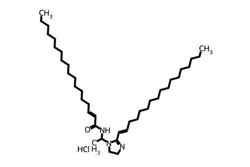 CCCCCCCCCCCCCCCC=CC(=O)NC(C)N1CCN=C1C=CCCCCCCCCCCCCCCC.Cl